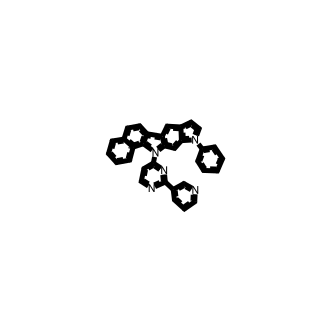 c1ccc(-n2ccc3cc4c5ccc6ccccc6c5n(-c5ccnc(-c6cccnc6)n5)c4cc32)cc1